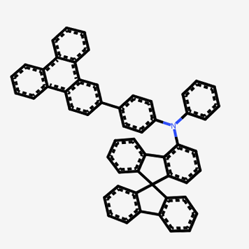 c1ccc(N(c2ccc(-c3ccc4c5ccccc5c5ccccc5c4c3)cc2)c2cccc3c2-c2ccccc2C32c3ccccc3-c3ccccc32)cc1